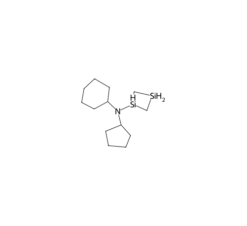 C1CCC(N(C2CCCC2)[SiH]2C[SiH2]C2)CC1